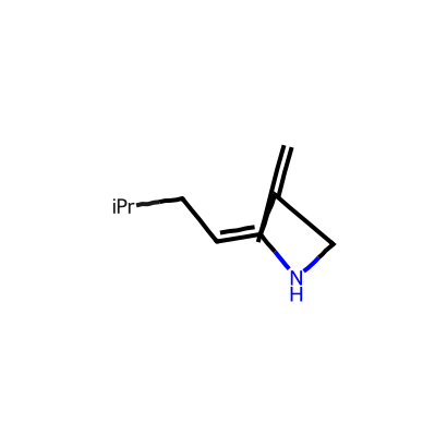 C=C1CN/C1=C/CC(C)C